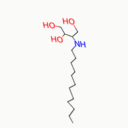 CCCCCCCCCCCCNC(CO)C(O)CO